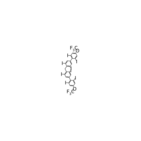 FC(F)(F)Oc1cc(I)c(-c2cc(I)c(Cc3c(I)cc(-c4c(I)cc(OC(F)(F)F)cc4I)cc3I)c(I)c2)c(I)c1